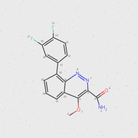 COc1c(C(N)=O)nnc2c(-c3ccc(F)c(F)c3)cccc12